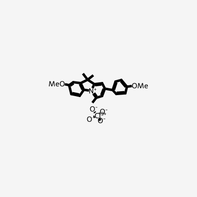 COc1ccc(-c2cc(C)[n+]3c(c2)C(C)(C)c2cc(OC)ccc2-3)cc1.[O-][Cl+3]([O-])([O-])[O-]